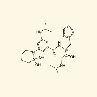 CC(C)NC[C@H](O)[C@H](Cc1ccccc1)NC(=O)c1cc(NC(C)C)cc(N2CCCCS2(O)O)c1